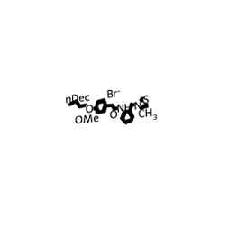 CCCCCCCCCCCCCCOc1ccc(CC(=O)Nc2ccccc2C[n+]2cscc2C)cc1OC.[Br-]